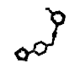 Oc1cccc(C#CCN2CCN(c3nccs3)CC2)c1